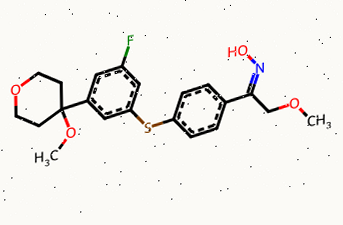 COC/C(=N/O)c1ccc(Sc2cc(F)cc(C3(OC)CCOCC3)c2)cc1